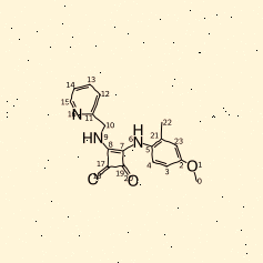 COc1ccc(Nc2c(NCc3ccccn3)c(=O)c2=O)c(C)c1